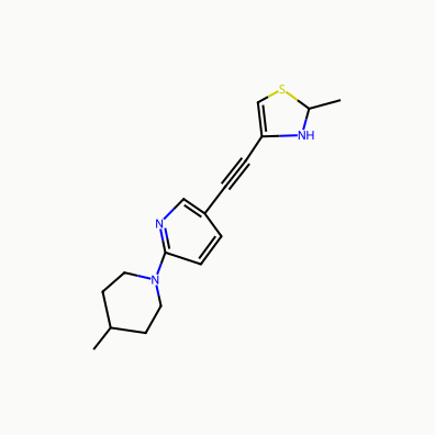 CC1CCN(c2ccc(C#CC3=CSC(C)N3)cn2)CC1